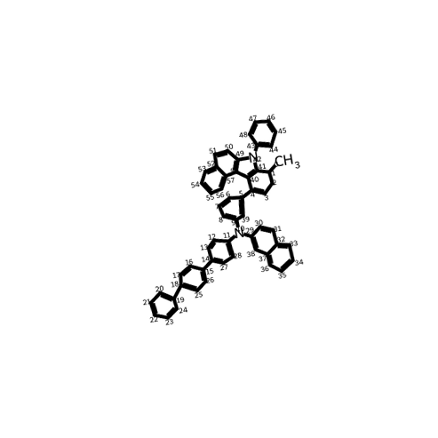 CC1CC=C(c2cccc(N(c3ccc(-c4ccc(-c5ccccc5)cc4)cc3)c3ccc4ccccc4c3)c2)c2c1n(-c1ccccc1)c1ccc3ccccc3c21